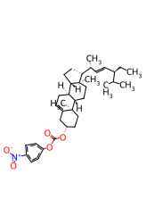 CC[C@H](/C=C/[C@@H](C)[C@H]1CC[C@H]2[C@@H]3CC=C4C[C@@H](OC(=O)Oc5ccc([N+](=O)[O-])cc5)CC[C@]4(C)[C@H]3CC[C@]12C)C(C)C